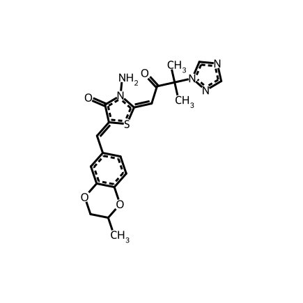 CC1COc2cc(/C=c3\s/c(=C/C(=O)C(C)(C)n4cncn4)n(N)c3=O)ccc2O1